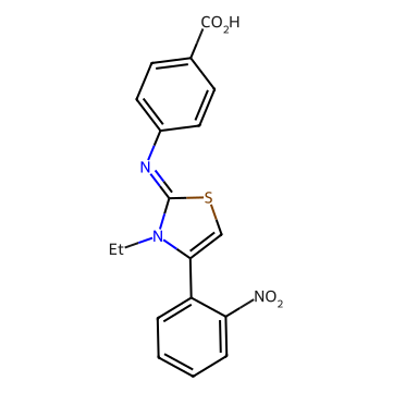 CCn1c(-c2ccccc2[N+](=O)[O-])cs/c1=N\c1ccc(C(=O)O)cc1